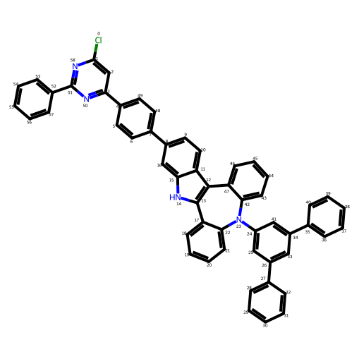 Clc1cc(-c2ccc(-c3ccc4c5c([nH]c4c3)-c3ccccc3N(c3cc(-c4ccccc4)cc(-c4ccccc4)c3)c3ccccc3-5)cc2)nc(-c2ccccc2)n1